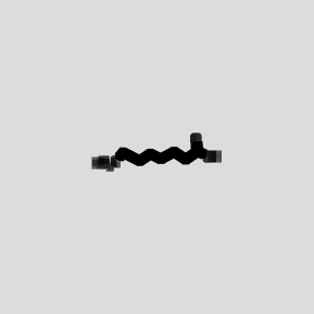 CCCCCCCC(=O)O.[LiH]